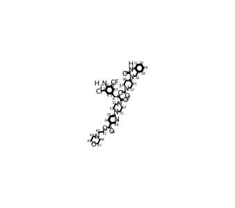 Nc1c(Cl)cc(C[C@@H](OC(=O)N2CCC(N3Cc4ccccc4NC3=O)CC2)C(=O)N2CCN(c3ccc(C(=O)OCCN4CCOCC4)cn3)CC2)cc1C(F)(F)F